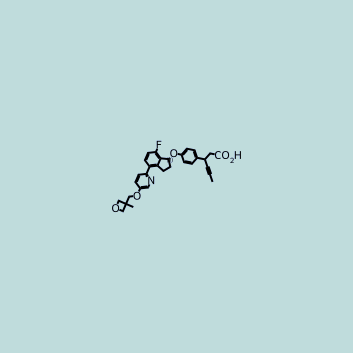 CC#CC(CC(=O)O)c1ccc(O[C@@H]2CCc3c(-c4ccc(OCC5(C)COC5)cn4)ccc(F)c32)cc1